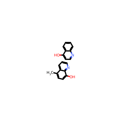 Cc1ccc(O)c2ncccc12.Oc1ccnc2ccccc12